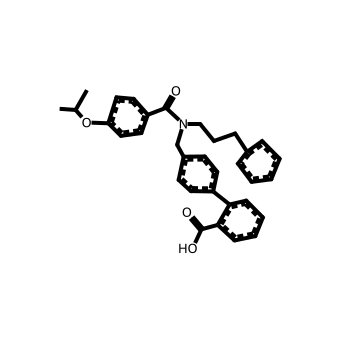 CC(C)Oc1ccc(C(=O)N(CCCc2ccccc2)Cc2ccc(-c3ccccc3C(=O)O)cc2)cc1